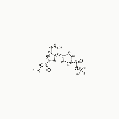 CCOC(=O)c1cc2c(C3CCN(C(=O)OC(C)(C)C)CC3)cccc2s1